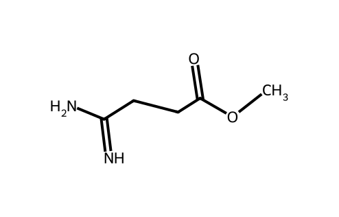 COC(=O)CCC(=N)N